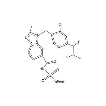 CCCCCS(=O)(=O)NC(=O)c1ccc2nc(C)n(Cc3ccc(C(F)C(F)F)cc3Cl)c2c1